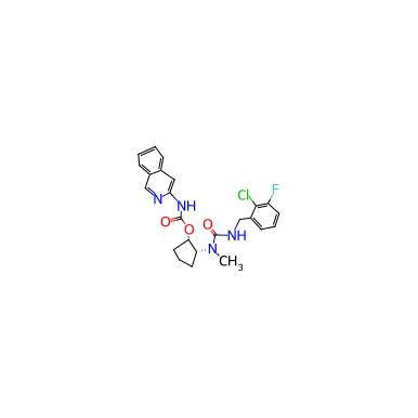 CN(C(=O)NCc1cccc(F)c1Cl)[C@@H]1CCC[C@@H]1OC(=O)Nc1cc2ccccc2cn1